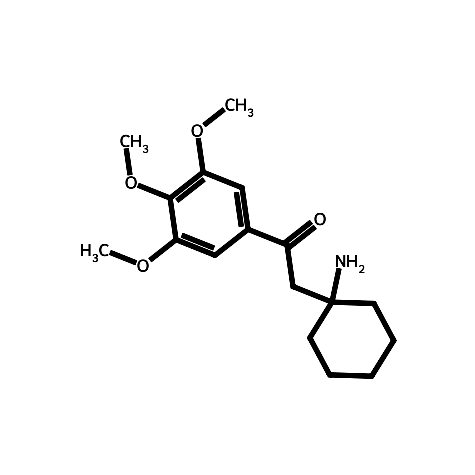 COc1cc(C(=O)CC2(N)CCCCC2)cc(OC)c1OC